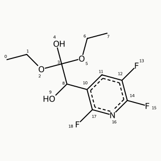 CCOC(O)(OCC)C(O)c1cc(F)c(F)nc1F